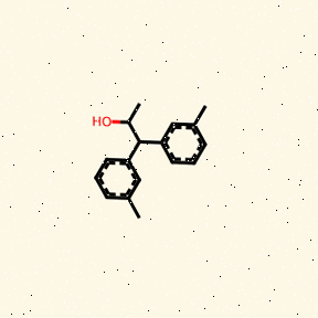 Cc1cccc(C(c2cccc(C)c2)C(C)O)c1